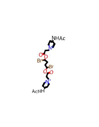 CC(=O)Nc1cc[n+](CCC(=O)OC(Br)CCC(Br)OC(=O)CC[n+]2ccc(NC(C)=O)cc2)cc1